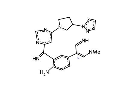 CN/C=C(\C=N)c1ccc(N)c(C(=N)c2cc(N3CCC(n4cccn4)C3)ncn2)c1